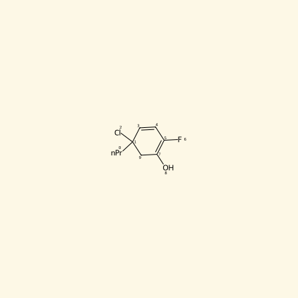 CCCC1(Cl)C=CC(F)=C(O)C1